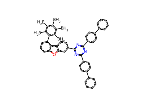 Bc1c(B)c(B)c(-c2cccc3oc4cc(-c5nc(-c6ccc(-c7ccccc7)cc6)nc(-c6ccc(-c7ccccc7)cc6)n5)ccc4c23)c(B)c1B